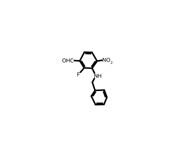 O=Cc1ccc([N+](=O)[O-])c(NCc2ccccc2)c1F